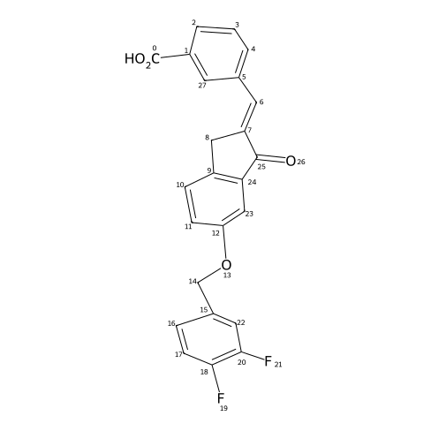 O=C(O)c1cccc(/C=C2\Cc3ccc(OCc4ccc(F)c(F)c4)cc3C2=O)c1